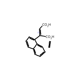 C=C.O=C(O)/C=C(\C(=O)O)c1cccc2ccccc12